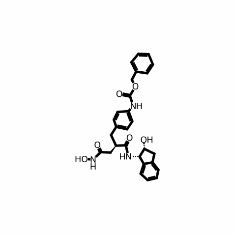 O=C(C[C@@H](Cc1ccc(NC(=O)OCc2ccccc2)cc1)C(=O)N[C@H]1c2ccccc2C[C@H]1O)NO